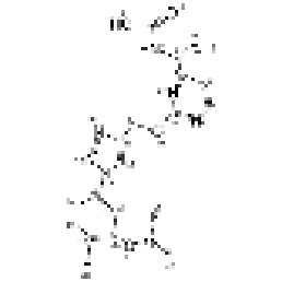 CC(NC(=O)O)c1ccnc(OCc2cn(-c3ccc(F)c(OC(F)F)c3)nn2)n1